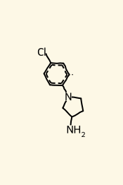 NC1CCN(c2[c]cc(Cl)cc2)C1